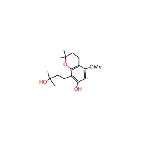 COc1[c]c(O)c(CCC(C)(C)O)c2c1CCC(C)(C)O2